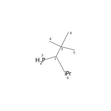 CC(C)C(P)C(C)(C)C